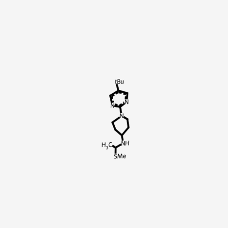 CSC(C)NC1CCN(c2ncc(C(C)(C)C)cn2)CC1